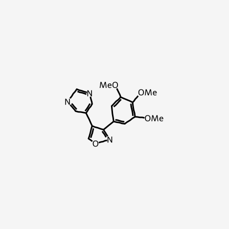 COc1cc(-c2nocc2-c2cncnc2)cc(OC)c1OC